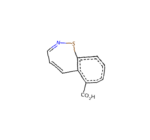 O=C(O)c1cccc2c1C=CC=NS2